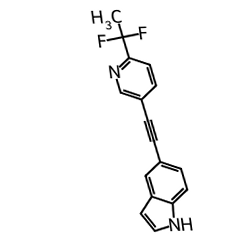 CC(F)(F)c1ccc(C#Cc2ccc3[nH]ccc3c2)cn1